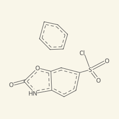 O=c1[nH]c2ccc(S(=O)(=O)Cl)cc2o1.c1ccccc1